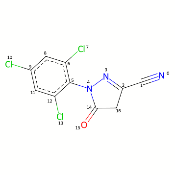 N#CC1=NN(c2c(Cl)cc(Cl)cc2Cl)C(=O)C1